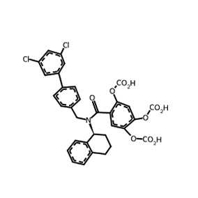 O=C(O)Oc1cc(OC(=O)O)c(C(=O)N(Cc2ccc(-c3cc(Cl)cc(Cl)c3)cc2)[C@H]2CCCc3ccccc32)cc1OC(=O)O